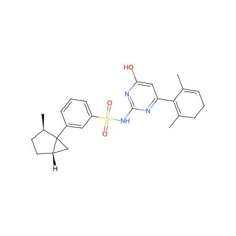 CC1=CCCC(C)=C1c1cc(O)nc(NS(=O)(=O)c2cccc(C34C[C@@H]3CC[C@H]4C)c2)n1